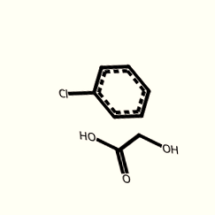 Clc1ccccc1.O=C(O)CO